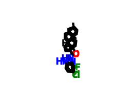 C[C@H]1CC[C@@]2(C)C(CC[C@@H]3C2CC[C@@]2(C)C3CC[C@@H]2C(=O)N/N=C2\C(=N)C=CC(Cl)=C2F)C1